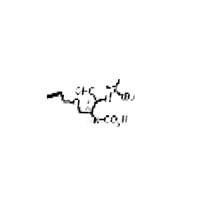 C=CCOC[C@H](NC(=O)O)[C@@H](C=O)O[Si](C)(C)C(C)(C)C